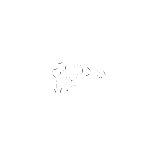 Cn1cccc1S(=O)(=O)NC(=O)CCc1ccc(Cn2cccn2)cc1OCCc1ccc2ccccc2c1